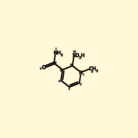 CN1C=CC=C(C(N)=O)C1S(=O)(=O)O